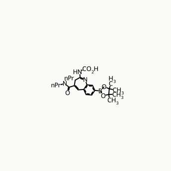 CCCN(CCC)C(=O)C1=Cc2ccc(B3OC(C)(C)C(C)(C)O3)cc2N=C(NC(=O)O)C1